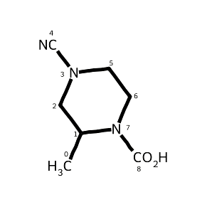 CC1CN(C#N)CCN1C(=O)O